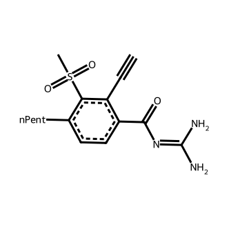 C#Cc1c(C(=O)N=C(N)N)ccc(CCCCC)c1S(C)(=O)=O